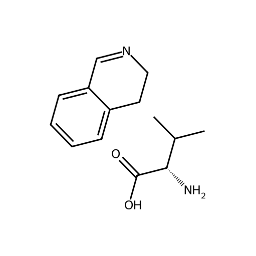 C1=NCCc2ccccc21.CC(C)[C@H](N)C(=O)O